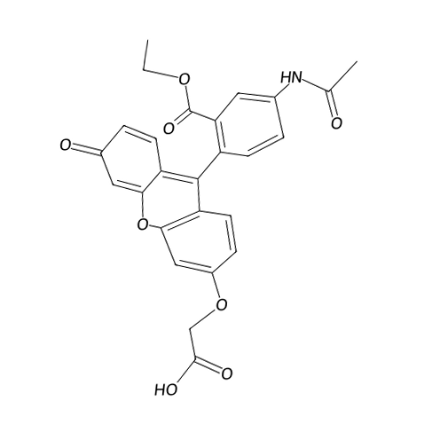 CCOC(=O)c1cc(NC(C)=O)ccc1-c1c2ccc(=O)cc-2oc2cc(OCC(=O)O)ccc12